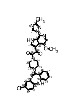 COc1cnc(-n2cnc(C)n2)c2[nH]cc(C(=O)C(=O)N3CCN(C4=Nc5cc(Cl)ccc5Nc5ccccc54)CC3)c12